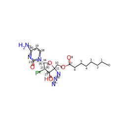 CCCCCCCC(=O)OCC1(N=[N+]=[N-])O[C@@H](n2ccc(N)nc2=O)[C@H](F)[C@@H]1O